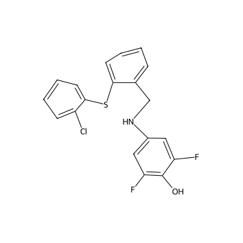 Oc1c(F)cc(NCc2ccccc2Sc2ccccc2Cl)cc1F